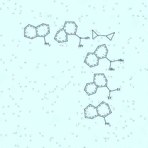 C1CC1C1CC1.CCCCP(CCCC)c1cccc2ccccc12.CCCP(CCC)c1cccc2ccccc12.CCP(CC)c1cccc2ccccc12.Pc1cccc2ccccc12.Pc1cccc2ccccc12